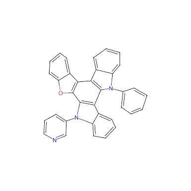 c1ccc(-n2c3ccccc3c3c4c5ccccc5oc4c4c(c5ccccc5n4-c4cccnc4)c32)cc1